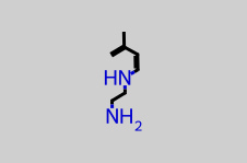 C=C(C)/C=C\NCCN